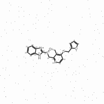 Cc1c(SCc2ccco2)ccnc1C[S+]([O-])c1nc2ccccc2[nH]1